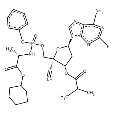 C#C[C@]1(COP(=O)(N[C@@H](C)C(=O)OC2CCCCC2)Oc2ccccc2)O[C@@H](n2cnc3c(N)nc(F)nc32)C[C@@H]1OC(=O)C(C)C